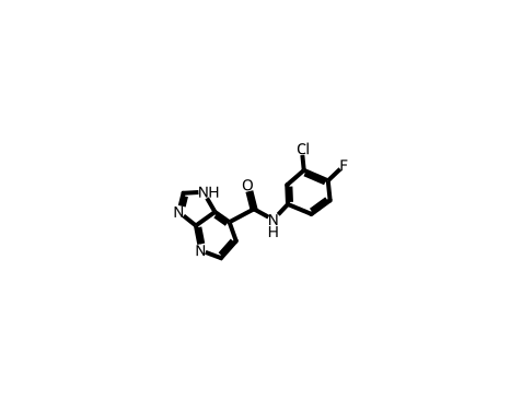 O=C(Nc1ccc(F)c(Cl)c1)c1ccnc2nc[nH]c12